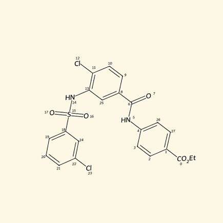 CCOC(=O)c1ccc(NC(=O)c2ccc(Cl)c(NS(=O)(=O)c3cccc(Cl)c3)c2)cc1